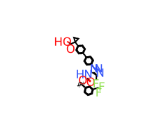 Cc1nnn(-c2ccc(-c3ccc(C4(C(=O)O)CC4)cc3)cc2)c1NC(=O)O[C@H](C)c1cccc(C(F)(F)F)c1